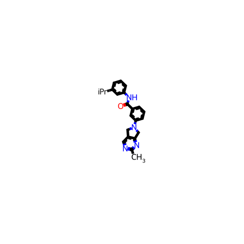 Cc1ncc2c(n1)CN(c1cccc(C(=O)Nc3cccc(C(C)C)c3)c1)C2